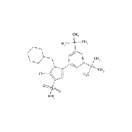 CC(C)(C)c1cc(-c2cc(S(N)(=O)=O)c(Cl)n2CC2CCCCC2)cc(C(C)(C)C)c1